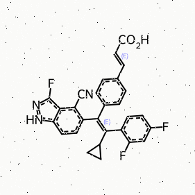 N#Cc1c(/C(=C(/c2ccc(F)cc2F)C2CC2)c2ccc(/C=C/C(=O)O)cc2)ccc2[nH]nc(F)c12